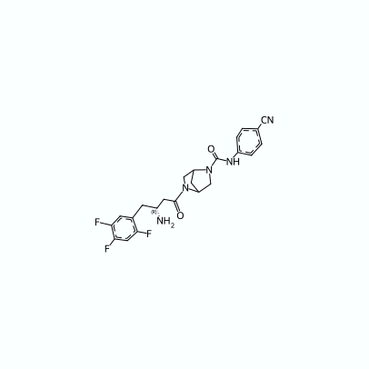 N#Cc1ccc(NC(=O)N2CC3CC2CN3C(=O)C[C@H](N)Cc2cc(F)c(F)cc2F)cc1